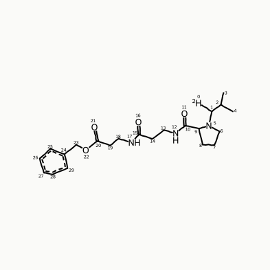 [2H]C(C(C)C)N1CCCC1C(=O)NCCC(=O)NCCC(=O)OCc1ccccc1